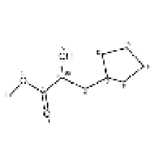 COC(=O)[C@H](O)CC1CCCC1